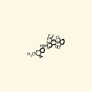 CN1Cc2cc(Nc3ncc4c(=O)n(-c5c(Cl)cccc5Cl)nc(C(F)(F)F)c4n3)ccc2C2(CC2)C1